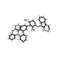 N#Cc1ccc(Cn2c3c(c4ccccc42)C=CCC3)c(C#N)c1-c1cccc(-c2ccccc2N2C3=C(CCC=C3)Cc3ccccc32)c1